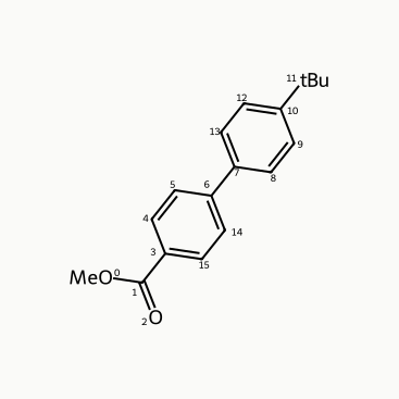 COC(=O)c1ccc(-c2ccc(C(C)(C)C)cc2)cc1